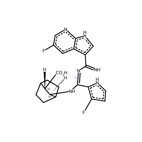 N=C(/N=C(/N[C@H]1C2CCC(CC2)[C@@H]1C(=O)O)c1[nH]ccc1F)c1c[nH]c2ncc(F)cc12